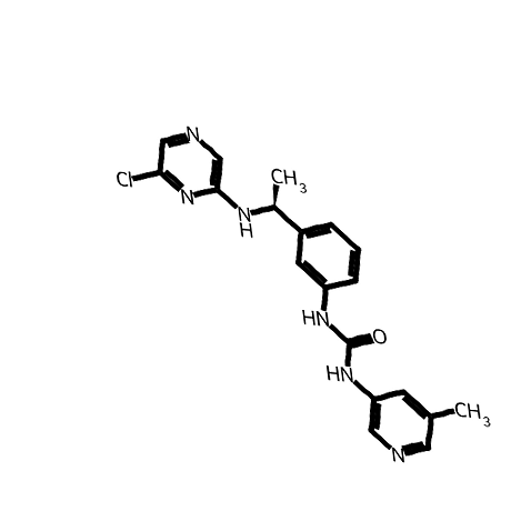 Cc1cncc(NC(=O)Nc2cccc([C@H](C)Nc3cncc(Cl)n3)c2)c1